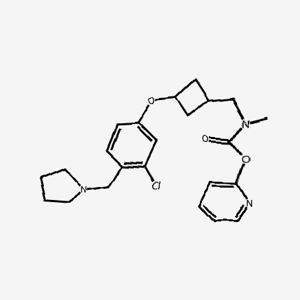 CN(CC1CC(Oc2ccc(CN3CCCC3)c(Cl)c2)C1)C(=O)Oc1ccccn1